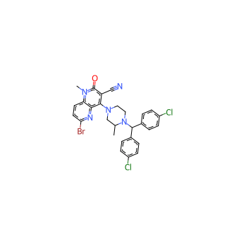 CC1CN(c2c(C#N)c(=O)n(C)c3ccc(Br)nc23)CCN1C(c1ccc(Cl)cc1)c1ccc(Cl)cc1